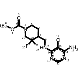 CC(C)(C)OC(=O)N1CCC(CNc2ncnc(N)c2Cl)C(F)(F)C1